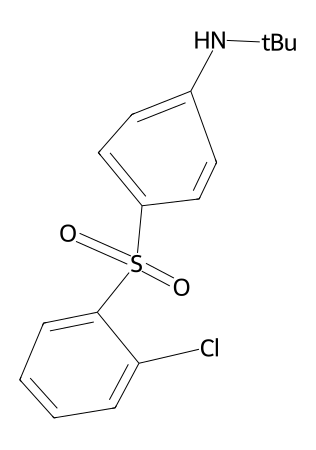 CC(C)(C)Nc1ccc(S(=O)(=O)c2ccccc2Cl)cc1